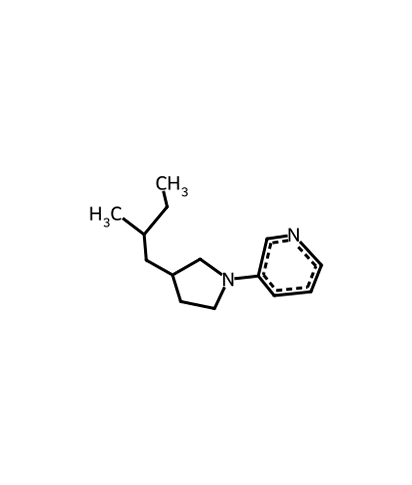 CCC(C)CC1CCN(c2cccnc2)C1